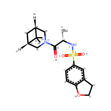 CC(C)(C)[C@H](NS(=O)(=O)c1ccc2c(c1)CCO2)C(=O)N1C[C@H]2C[C@@H](C1)C2(C)C